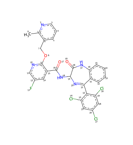 Cc1ncccc1COc1ncc(F)cc1C(=O)NC1N=C(c2c(Cl)cc(Cl)cc2Cl)c2ccccc2NC1=O